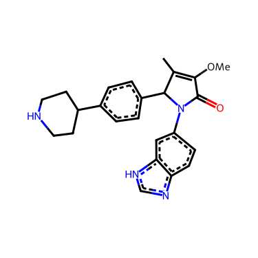 COC1=C(C)C(c2ccc(C3CCNCC3)cc2)N(c2ccc3nc[nH]c3c2)C1=O